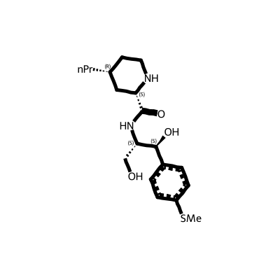 CCC[C@@H]1CCN[C@H](C(=O)N[C@@H](CO)[C@@H](O)c2ccc(SC)cc2)C1